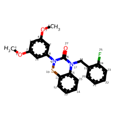 COc1cc(OC)cc(N2Sc3ccccc3N(Cc3ccccc3F)C2=O)c1